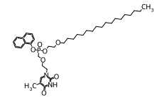 CCCCCCCCCCCCCCCCCCOCCOP(=O)(COCCn1cc(C)c(=O)[nH]c1=O)Oc1cccc2ccccc12